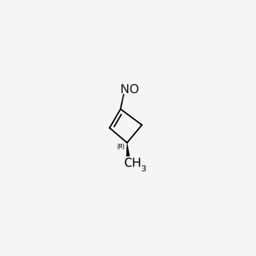 C[C@H]1C=C(N=O)C1